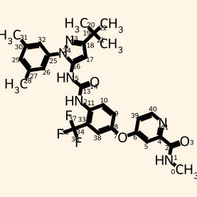 CNC(=O)c1cc(Oc2ccc(NC(=O)Nc3cc(C(C)(C)C)nn3-c3cc(C)cc(C)c3)c(C(F)(F)F)c2)ccn1